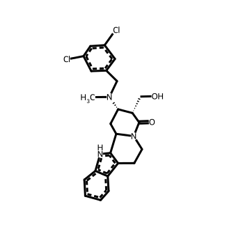 CN(Cc1cc(Cl)cc(Cl)c1)[C@H]1CC2c3[nH]c4ccccc4c3CCN2C(=O)[C@H]1CO